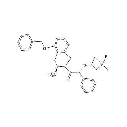 O=C(O)[C@H]1Cc2c(cccc2OCc2ccccc2)CN1C(=O)[C@H](OC1CC(F)(F)C1)c1ccccc1